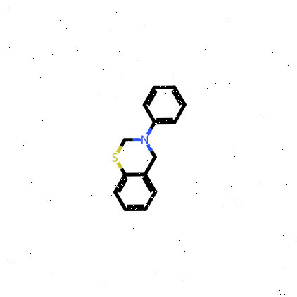 c1ccc(N2CSc3ccccc3C2)cc1